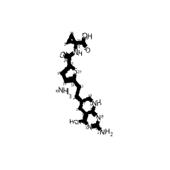 N.Nc1nc(O)c2c(n1)NCC(CCc1ccc(C(=O)NC3(C(=O)O)CC3)s1)C2